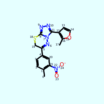 Cc1ccc(C2=Nn3c(nnc3-c3ccoc3C)SC2)cc1[N+](=O)[O-]